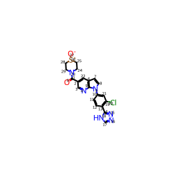 O=C(c1cnc2c(ccn2-c2ccc(-c3nnc[nH]3)c(Cl)c2)c1)N1CC[S+]([O-])CC1